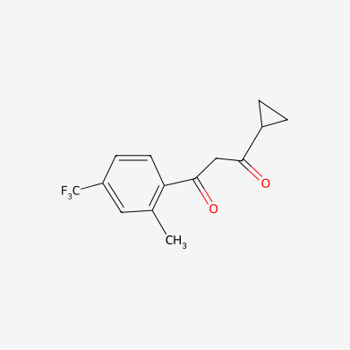 Cc1cc(C(F)(F)F)ccc1C(=O)CC(=O)C1CC1